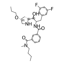 CCCCN(C)C(=O)c1cccc(C(=O)NC(Cc2cc(F)cc(F)c2)[C@H](O)[C@H]2C[C@@H](OCCC)CN2)c1